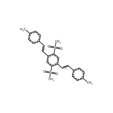 Cc1ccc(/C=C/c2cc(S(C)(=O)=O)c(/C=C/c3ccc(C)cc3)cc2S(C)(=O)=O)cc1